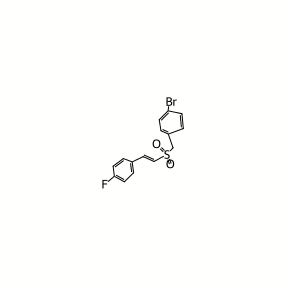 O=S(=O)(C=Cc1ccc(F)cc1)Cc1ccc(Br)cc1